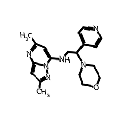 Cc1cc(NCC(c2ccncc2)N2CCOCC2)n2nc(C)cc2n1